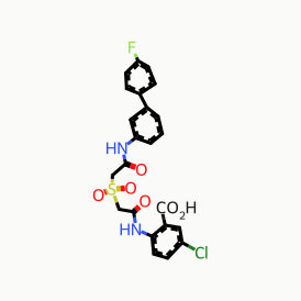 O=C(CS(=O)(=O)CC(=O)Nc1ccc(Cl)cc1C(=O)O)Nc1cccc(-c2ccc(F)cc2)c1